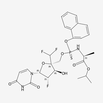 CC(C)OC(=O)[C@H](C)NP(=S)(OC[C@@]1(C(F)F)O[C@@H](n2ccc(=O)[nH]c2=O)[C@@H](F)[C@@H]1O)Oc1cccc2ccccc12